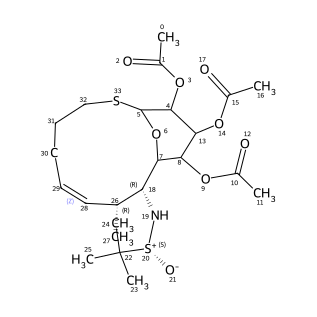 CC(=O)OC1C2OC(C(OC(C)=O)C1OC(C)=O)[C@H](N[S@+]([O-])C(C)(C)C)[C@H](C)/C=C\CCCS2